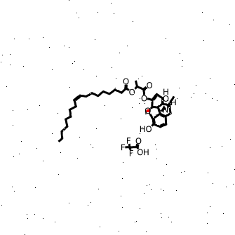 CCCCCCCC/C=C\CCCCCCCC(=O)OC(C)C(=O)OC1=CC[C@@]2(O)[C@H]3Cc4ccc(O)c5c4[C@@]2(CCN3C)[C@H]1O5.O=C(O)C(F)(F)F